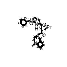 CC(C)C[C@H](NC(=O)[C@H](CC(C)C)NC(=O)OCc1ccccc1)C(=O)CN1CCN(C)c2ccccc2C1